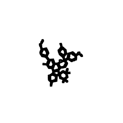 COc1ccc(-c2cc3c4c(c5c(c3cc2C)-c2ccc(C)cc2C52CC(C)(C)CC(C)(C)C2)C=CC(c2ccc(C)cc2)(c2ccc(OC)cc2)O4)cc1